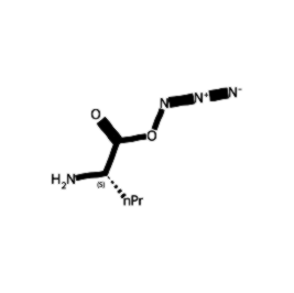 CCC[C@H](N)C(=O)ON=[N+]=[N-]